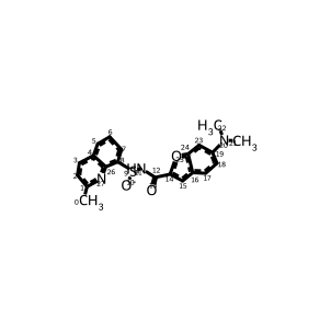 Cc1ccc2cccc([S+]([O-])NC(=O)c3cc4ccc(N(C)C)cc4o3)c2n1